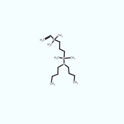 C=C[Si](C)(C)CCC[Si](C)(C)N(CCCC)CCCC